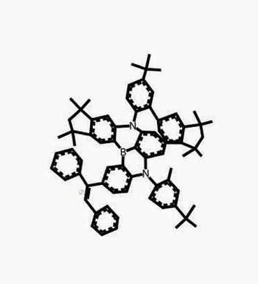 Cc1cc2c3c(c1)N(c1ccc(C(C)(C)C)cc1-c1ccc4c(c1)C(C)(C)CC4(C)C)c1cc4c(cc1B3c1cc(/C(=C\c3ccccc3)c3ccccc3)ccc1N2c1ccc(C(C)(C)C)cc1C)C(C)(C)CC4(C)C